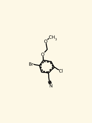 COCOc1cc(Cl)c(C#N)cc1Br